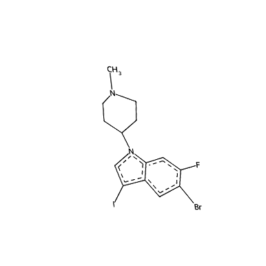 CN1CCC(n2cc(I)c3cc(Br)c(F)cc32)CC1